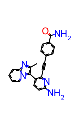 Cc1nc2ccccn2c1-c1ccc(N)nc1C#Cc1ccc(C(N)=O)cc1